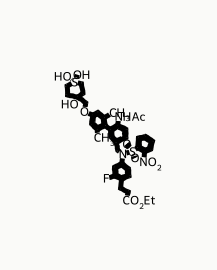 CCOC(=O)CCc1ccc(N(Cc2ccc(NC(C)=O)c(-c3c(C)cc(OCC4(O)CCS(O)(O)CC4)cc3C)c2)S(=O)(=O)c2ccccc2[N+](=O)[O-])cc1F